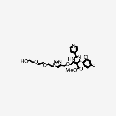 COC(=O)C1=C(COCc2cn(CCOCCOCCO)nn2)NC(c2ccncc2)=N[C@@H]1c1ccc(F)cc1Cl